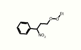 CCOOCCC(c1ccccc1)[N+](=O)[O-]